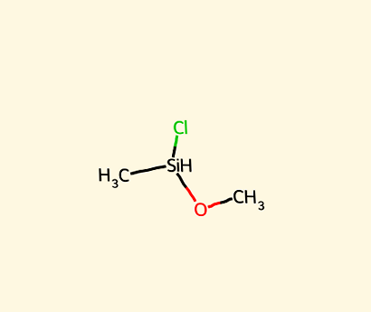 CO[SiH](C)Cl